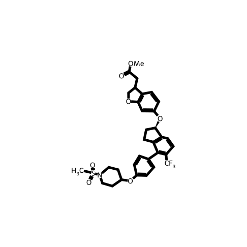 COC(=O)CC1COc2cc(O[C@@H]3CCc4c3ccc(C(F)(F)F)c4-c3ccc(OC4CCN(S(C)(=O)=O)CC4)cc3)ccc21